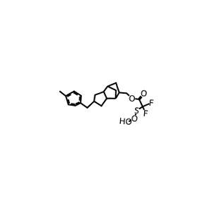 Cc1ccc(CC2CC3C4CC(COC(=O)C(F)(F)SOO)C(C4)C3C2)cc1